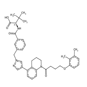 Cc1cccc(OCCCC(=O)N2CCCc3c(-c4cnn(Cc5cccc(C(=O)N[C@@H](C(=O)O)C(C)(C)C)c5)c4)cccc32)c1C